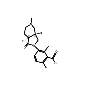 Cc1ccc(N2C[C@@H]3CN(C)CC[C@]3(F)C2=O)c(C)c1C(=O)O